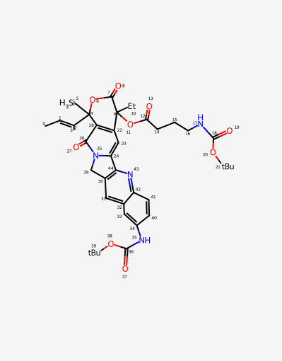 CC=C(C)C1([SiH3])OC(=O)C(CC)(OC(=O)CCCNC(=O)OC(C)(C)C)c2cc3n(c(=O)c21)Cc1cc2cc(NC(=O)OC(C)(C)C)ccc2nc1-3